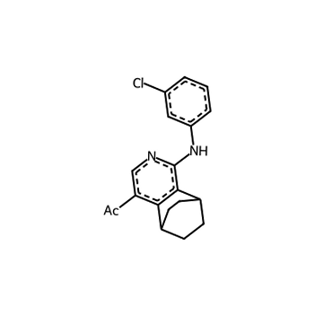 CC(=O)c1cnc(Nc2cccc(Cl)c2)c2c1C1CCC2CC1